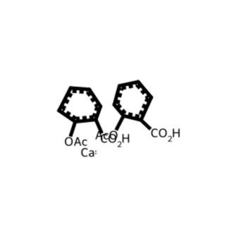 CC(=O)Oc1ccccc1C(=O)O.CC(=O)Oc1ccccc1C(=O)O.[Ca]